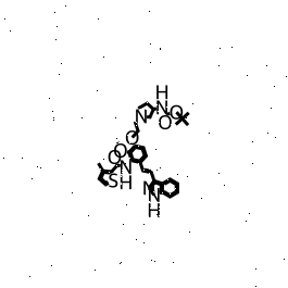 COc1c(OCCN2CCC(NC(=O)OC(C)(C)C)C2)ccc(C=Cc2n[nH]c3ccccc23)c1NC(=O)c1sccc1C